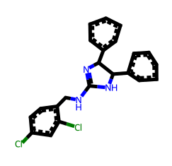 Clc1ccc(CNC2=NC(c3ccccc3)C(c3ccccc3)N2)c(Cl)c1